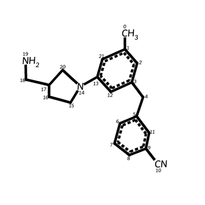 Cc1cc(Cc2cccc(C#N)c2)cc(N2CCC(CN)C2)c1